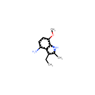 CCc1c(C)[nH]c2c(OC)ccc(N)c12